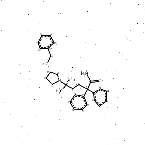 CC(C)(CCC(C(N)=O)(c1ccccc1)c1ccccc1)N1CC[C@H](OCc2ccccc2)C1